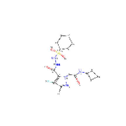 Cc1nn(CC(=O)NC2CCC2)c(C(=O)NNS(=O)(=O)C2CCCCC2)c1F